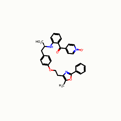 Cc1oc(-c2ccccc2)nc1CCOc1ccc(C[C@H](Nc2ccccc2C(=O)c2cc[n+]([O-])cc2)C(=O)O)cc1